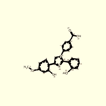 COc1ccc(-c2cn(-c3ccc(C(=O)O)cc3)c(-c3ccccc3O)n2)c(O)c1